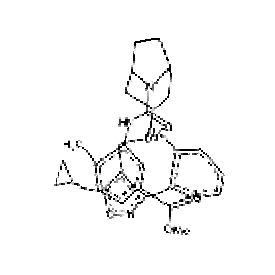 COC(=O)c1ccc(C)c(NC(=O)N2C3CCC2CC(OCc2c(-c4ccccc4C)noc2C2CC2)C3)c1